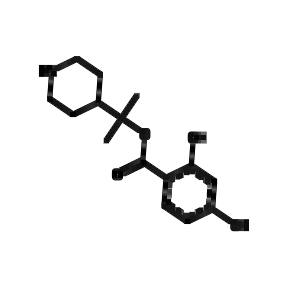 CC(C)(OC(=O)c1ccc(O)cc1O)C1CCNCC1